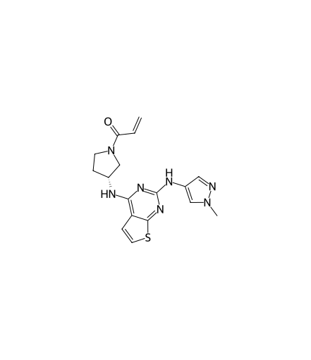 C=CC(=O)N1CC[C@@H](Nc2nc(Nc3cnn(C)c3)nc3sccc23)C1